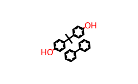 CC(C)(c1ccc(O)cc1)c1ccc(O)cc1.c1ccc(-c2ccccc2)cc1